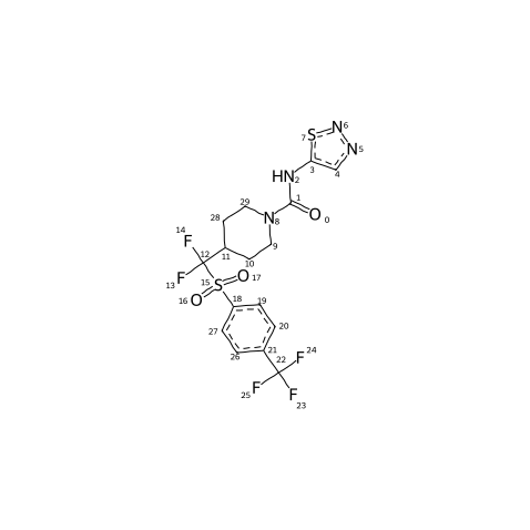 O=C(Nc1cnns1)N1CCC(C(F)(F)S(=O)(=O)c2ccc(C(F)(F)F)cc2)CC1